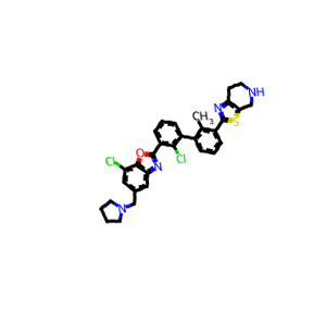 Cc1c(-c2nc3c(s2)CNCC3)cccc1-c1cccc(-c2nc3cc(CN4CCCC4)cc(Cl)c3o2)c1Cl